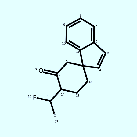 O=C1CC2(C=Cc3ccccc32)CCC1C(F)F